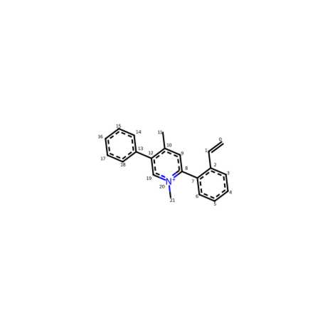 C=Cc1ccccc1-c1cc(C)c(-c2ccccc2)c[n+]1C